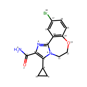 NC(=O)c1nc2n(c1C1CC1)CCOc1ccc(Br)cc1-2